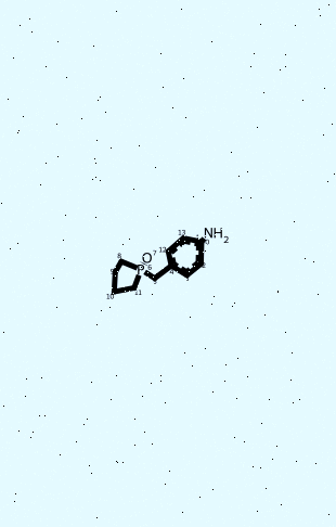 Nc1ccc(CP2(=O)CCCC2)cc1